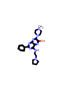 CN1CCN(c2nc3nc(-c4ccccc4)nc(NCCN4CCCC4)c3nc2O)CC1